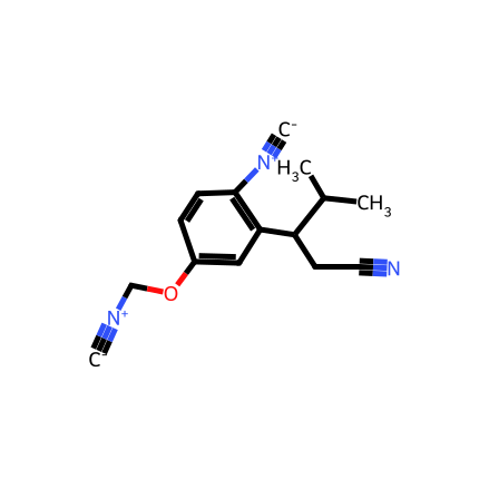 [C-]#[N+]COc1ccc([N+]#[C-])c(C(CC#N)C(C)C)c1